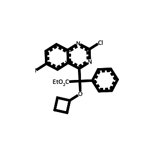 CCOC(=O)C(OC1CCC1)(c1ccccc1)c1nc(Cl)nc2ccc(I)cc12